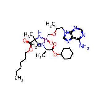 CCCCCCOC(=O)C(C)(C)N[P@](=O)(CO[C@H](C)Cn1cnc2c(N)ncnc21)N[C@H](C)C(=O)OC1CCCCC1